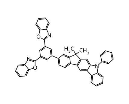 CC1(C)c2cc(-c3cc(-c4nc5ccccc5o4)cc(-c4nc5ccccc5o4)c3)ccc2-c2cc3c4ccccc4n(-c4ccccc4)c3cc21